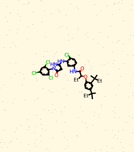 CCC(Oc1ccc(C(C)(C)CC)cc1C(C)(C)CC)C(=O)Nc1ccc(Cl)c(Nc2cc(=O)n(-c3c(Cl)cc(Cl)cc3Cl)[nH]2)c1